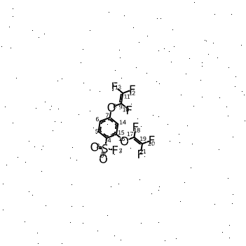 O=S(=O)(F)c1ccc(OC(F)=C(F)F)cc1OC(F)=C(F)F